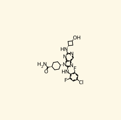 NC(=O)[C@H]1CC[C@H](n2c(Nc3c(F)cc(Cl)cc3F)nc3cnc(N[C@H]4C[C@H](O)C4)nc32)CC1